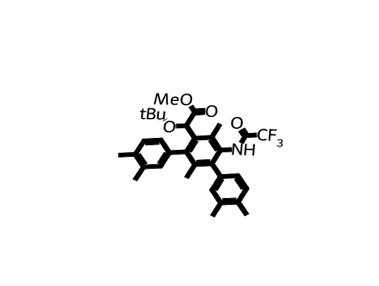 COC(=O)C(OC(C)(C)C)c1c(C)c(NC(=O)C(F)(F)F)c(-c2ccc(C)c(C)c2)c(C)c1-c1ccc(C)c(C)c1